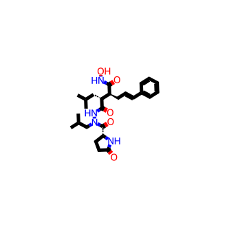 CC(C)C[C@@H](C(=O)NN(CC(C)C)C(=O)[C@H]1CCC(=O)N1)[C@H](CC=Cc1ccccc1)C(=O)NO